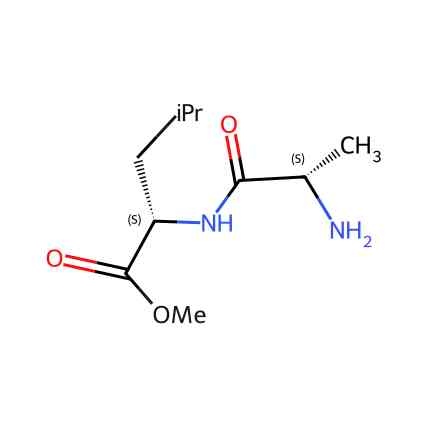 COC(=O)[C@H](CC(C)C)NC(=O)[C@H](C)N